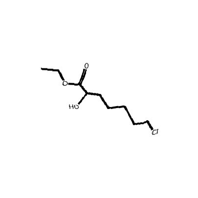 CCOC(=O)C(O)CCCCCCl